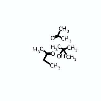 CC(C)(C)O.CC(C)=O.CCC(C)=O